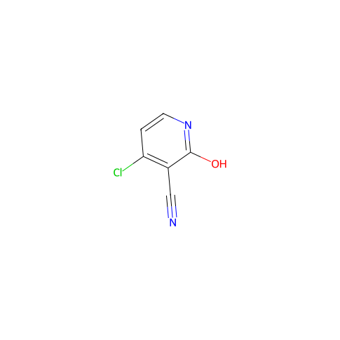 N#Cc1c(Cl)ccnc1O